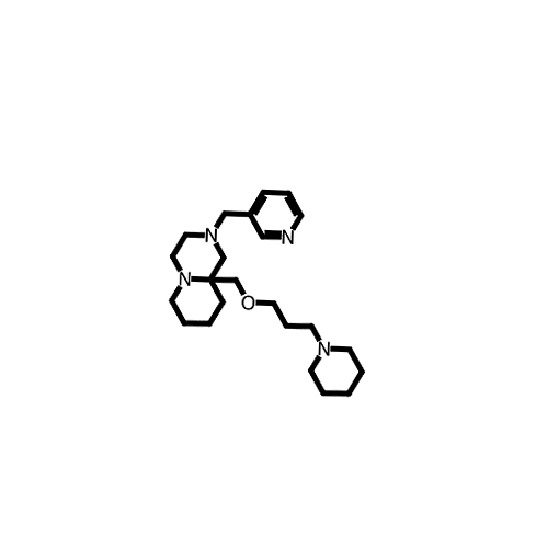 c1cncc(CN2CCN3CCCCC3(COCCCN3CCCCC3)C2)c1